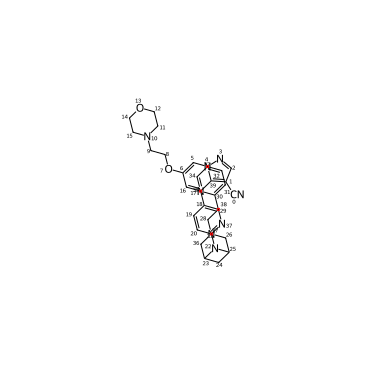 N#Cc1cnn2cc(OCCN3CCOCC3)cc(-c3ccc(N4C5CC4CN(CCc4ccccn4)C5)nc3)c12